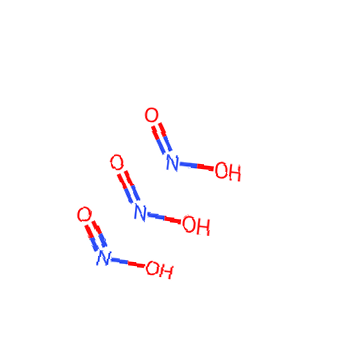 O=NO.O=NO.O=NO